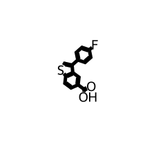 O=C(O)c1ccc2scc(-c3ccc(F)cc3)c2c1